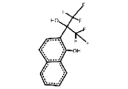 Oc1c(C(O)(C(F)(F)F)C(F)(F)F)ccc2ccccc12